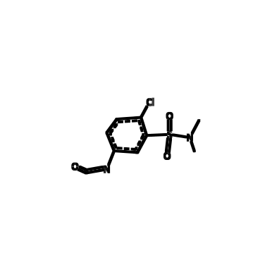 CN(C)S(=O)(=O)c1cc(N=C=O)ccc1Cl